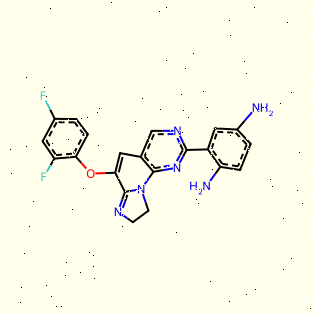 Nc1ccc(N)c(-c2ncc3c(n2)N2CCN=C2C(Oc2ccc(F)cc2F)=C3)c1